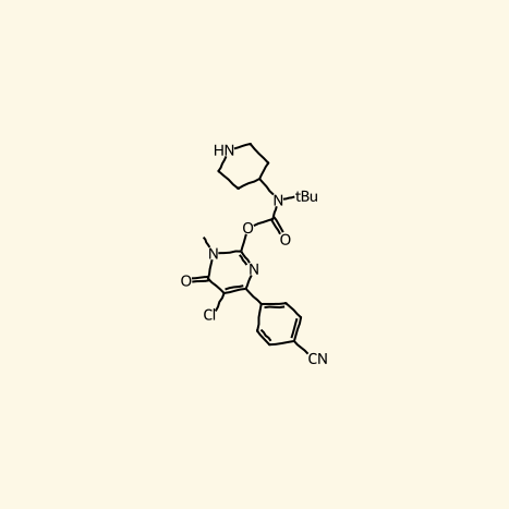 Cn1c(OC(=O)N(C2CCNCC2)C(C)(C)C)nc(-c2ccc(C#N)cc2)c(Cl)c1=O